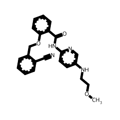 COCCNc1ccc(NC(=O)c2ccccc2OCc2ccccc2C#N)nc1